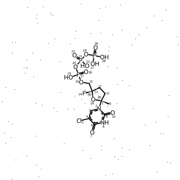 C[C@]1(n2cc(Cl)c(=O)[nH]c2=O)CC[C@@](F)(COP(=O)(O)OP(=O)(O)OP(=O)(O)O)O1